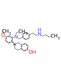 CCCCNCCc1ccc(CN(CC)c2cc(OC)ccc2[C@@H]2CCc3cc(O)ccc3C2)cc1